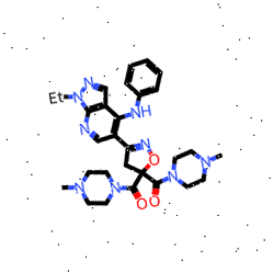 CCn1ncc2c(Nc3ccccc3)c(C3=NOC(C(=O)N4CCN(C)CC4)(C(=O)N4CCN(C)CC4)C3)cnc21